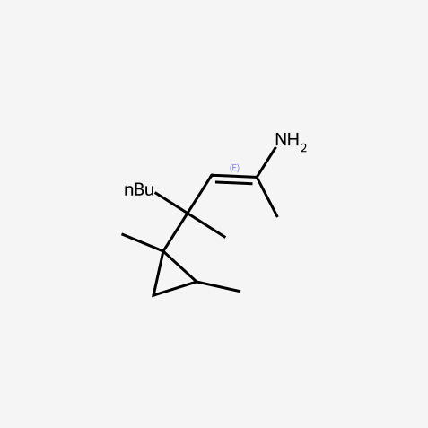 CCCCC(C)(/C=C(\C)N)C1(C)CC1C